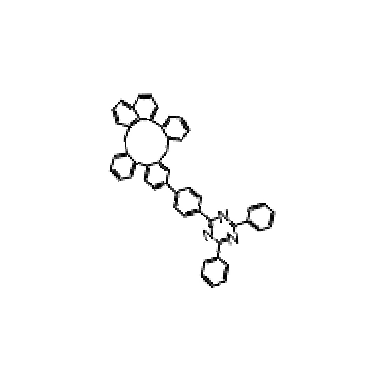 c1ccc(-c2nc(-c3ccccc3)nc(-c3ccc(-c4ccc5c(c4)Cc4ccccc4-c4cccc6cccc(c46)Cc4ccccc4-5)cc3)n2)cc1